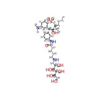 CCCC[C@]12CS(=O)(=O)c3ccc(N(C)C)cc3[C@@H](c3cccc(NC(=O)CCCCNC[C@H](O)[C@@H](O)[C@H](O)[C@H](O)CO)c3)[C@]1(O)C2C